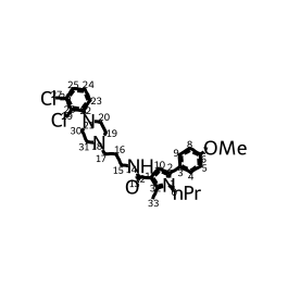 CCCn1c(-c2ccc(OC)cc2)cc(C(=O)NCCCN2CCN(c3cccc(Cl)c3Cl)CC2)c1C